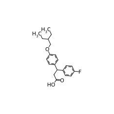 CCC(CC)COc1ccc(C(CC(=O)O)c2ccc(F)cc2)cc1